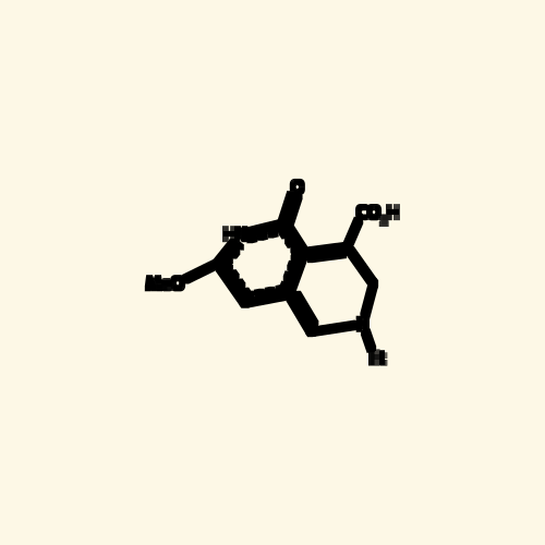 CCN1C=c2cc(OC)[nH]c(=O)c2=C(C(=O)O)C1